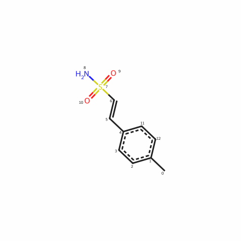 Cc1ccc(C=CS(N)(=O)=O)cc1